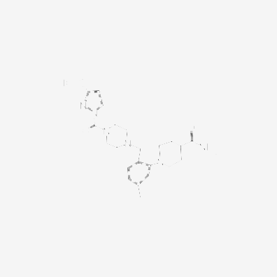 Cc1ccc(CN2CCN(C(=O)n3ccc(C(=O)O)n3)CC2)c(N2CCC(C(N)=O)CC2)c1